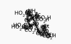 CCN1CCCc2cc3c(cc21)Oc1cc2c(cc1=C3c1cc(C(=O)NCCCCCC(=O)N3CCCN4CCN(CCCN(C(=O)CCC(C(=O)O)N(CC(=O)O)CC(=O)O)CC3)C(=O)CCC(N(CC(N)=O)CC(=O)O)C(=O)N=C4CCC(C(C)=O)N(CC(=O)O)CC(=O)O)ccc1C(=O)O)CCC[N+]=2CC